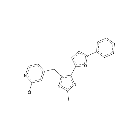 Cc1nc(-c2ccc(-c3ccccc3)o2)n(Cc2ccnc(Cl)c2)n1